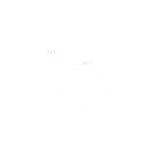 Cl.NCc1cc2ccccc2o1